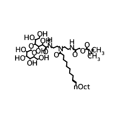 CCCCCCCC/C=C/CCCCCCCC(=O)N(CCNC(=O)COC(=O)N(C)C)CCNC(=O)C(O)C(O)C(O[C@@H]1OC(CO)[C@H](O)[C@H](O)C1O)C(O)CO